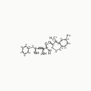 CN1C(=O)[C@@H](NC(=O)C(=N)NC(=N)Cc2ccccc2)CCc2ccc(F)cc21